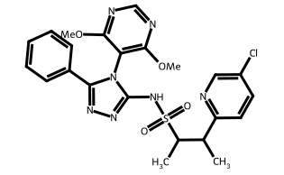 COc1ncnc(OC)c1-n1c(NS(=O)(=O)C(C)C(C)c2ccc(Cl)cn2)nnc1-c1ccccc1